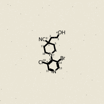 N#CC1(CCO)CCN(c2c(Cl)cncc2Br)CC1